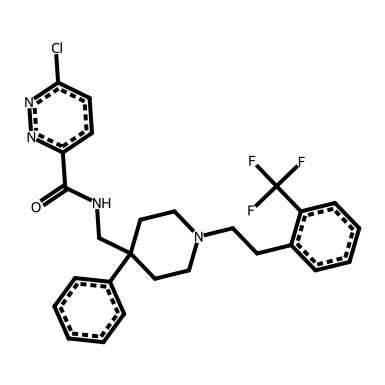 O=C(NCC1(c2ccccc2)CCN(CCc2ccccc2C(F)(F)F)CC1)c1ccc(Cl)nn1